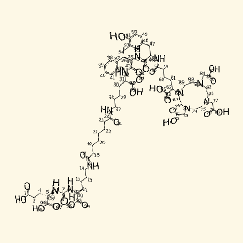 O=C(O)CC[C@H](NC(=O)N[C@@H](CCCCNC(=O)CCCCCCC(=O)NCCCCC(NC(=O)[C@@H](Cc1ccccc1)NC(=O)C(Cc1ccc(O)c(I)c1)NC(=O)CCCC(C(=O)O)N1CCN(CC(=O)O)CCN(CC(=O)O)CCN(CC(=O)O)CC1)C(=O)O)C(=O)O)C(=O)O